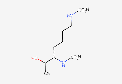 N#CC(O)C(CCCCNC(=O)O)NC(=O)O